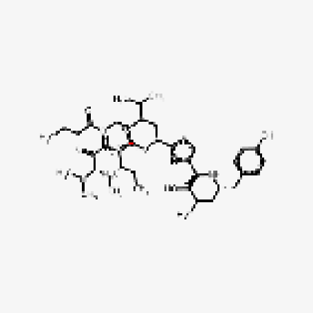 CCCC(=O)OCN(C(=O)C(NC(=O)[C@H](CC)N(C)C)C(C)CC)C(C[C@H](OC(C)=O)c1nc(C(=O)N[C@H](Cc2ccc(O)cc2)C[C@@H](C)C(=O)O)cs1)C(C)C